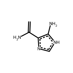 C=C(N)c1nc[nH]c1N